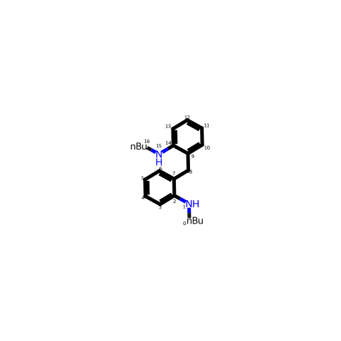 CCCCNc1ccccc1[CH]c1ccccc1NCCCC